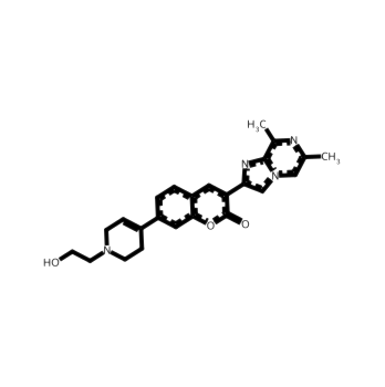 Cc1cn2cc(-c3cc4ccc(C5=CCN(CCO)CC5)cc4oc3=O)nc2c(C)n1